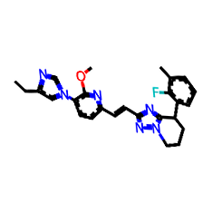 CCc1cn(-c2ccc(/C=C/c3nc4n(n3)CCCC4c3cccc(C)c3F)nc2OC)cn1